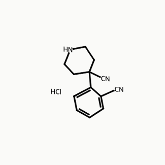 Cl.N#Cc1ccccc1C1(C#N)CCNCC1